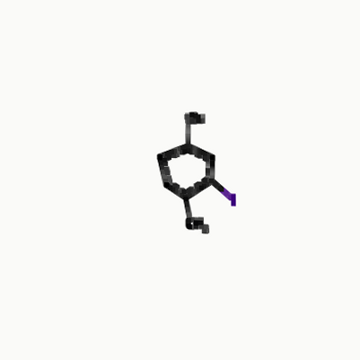 Cc1ccc(C(C)(C)C)cc1I